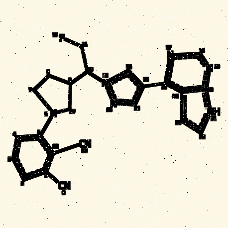 N#Cc1cccc(N2CCC(C(CF)n3cc(-c4ncnc5[nH]ccc45)cn3)C2)c1C#N